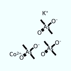 C[As](C)(=O)[O-].C[As](C)(=O)[O-].C[As](C)(=O)[O-].[Co+2].[K+]